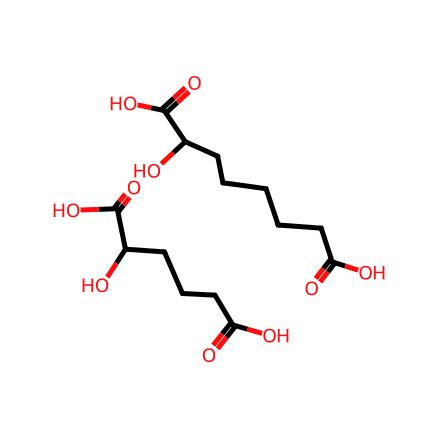 O=C(O)CCCC(O)C(=O)O.O=C(O)CCCCCC(O)C(=O)O